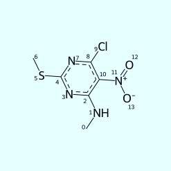 CNc1nc(SC)nc(Cl)c1[N+](=O)[O-]